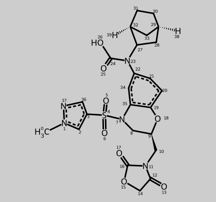 Cn1cc(S(=O)(=O)N2C[C@H](CN3C(=O)COC3=O)Oc3ccc(N(C(=O)O)C4C[C@@H]5CC[C@H]4C5)cc32)cn1